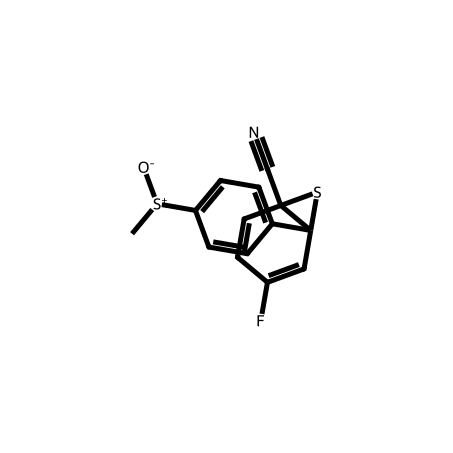 C[S+]([O-])c1ccc(C23C=C(F)C=CC2(C#N)S3)cc1